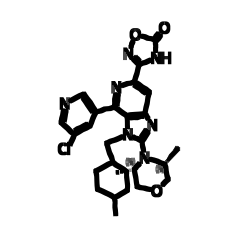 CC1CCC(Cn2c(N3[C@@H](C)COC[C@@H]3C)nc3cc(-c4noc(=O)[nH]4)nc(-c4cncc(Cl)c4)c32)CC1